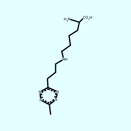 Cc1nnc(CCCNCCCCC(N)C(=O)O)nn1